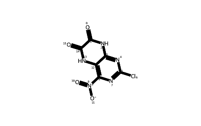 O=c1[nH]c2nc(Cl)nc([N+](=O)[O-])c2[nH]c1=O